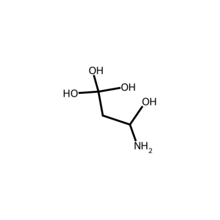 NC(O)CC(O)(O)O